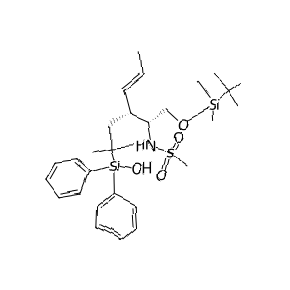 C/C=C/[C@@H](CC(C)(C)[Si](O)(c1ccccc1)c1ccccc1)[C@H](CO[Si](C)(C)C(C)(C)C)NS(C)(=O)=O